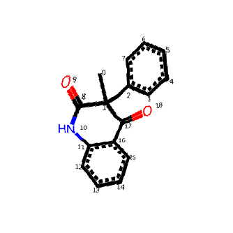 CC1(c2ccccc2)C(=O)Nc2ccccc2C1=O